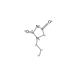 CCCN1CC(=O)[N]C1=O